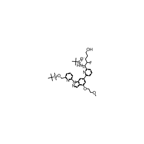 COCCOc1cc(-c2cccc([C@@H](N[S@+]([O-])C(C)(C)C)C(F)CCCO)n2)cc2c1cnn2-c1cccc(CO[Si](C)(C)C(C)(C)C)n1